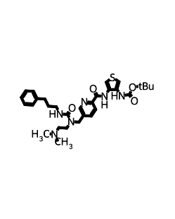 CN(C)CCN(Cc1ccc(C(=O)Nc2cscc2NC(=O)OC(C)(C)C)nc1)C(=O)NCCCc1ccccc1